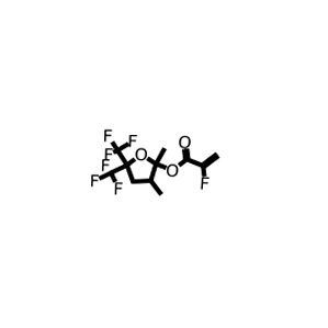 C=C(F)C(=O)OC1(C)OC(C(F)(F)F)(C(F)(F)F)CC1C